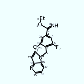 CCOC(=N)c1cc(F)c(Cn2ccc3ncccc32)c(Cl)c1